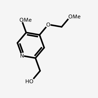 COCOc1cc(CO)ncc1OC